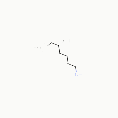 C[C@H](CCCCN)CC(=O)O